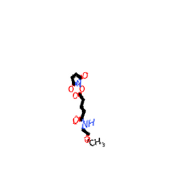 COCCNC(=O)CCCC(=O)ON1C(=O)CCC1=O